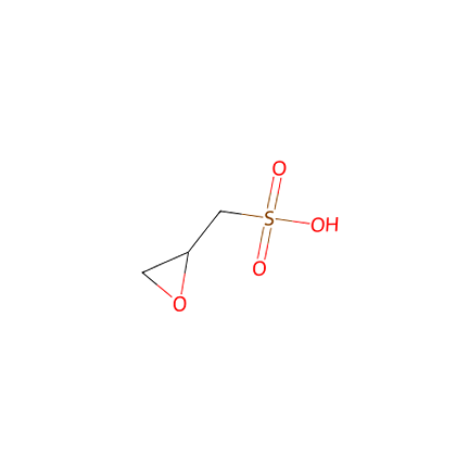 O=S(=O)(O)CC1CO1